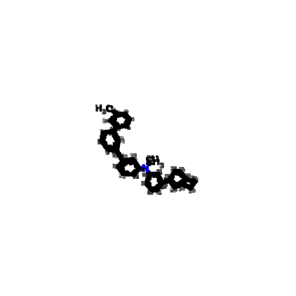 Cc1cccc(-c2cccc(-c3cccc(N(C)c4cccc(-c5ccc6c(c5)CC6)c4)c3)c2)c1